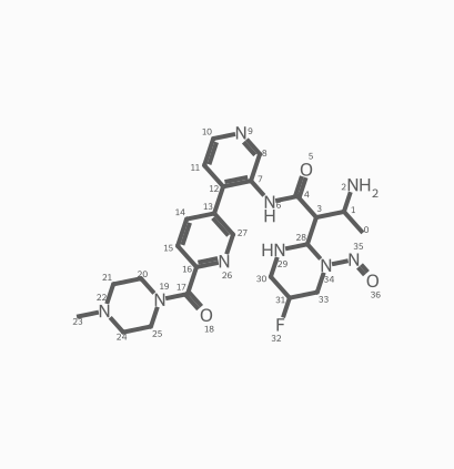 CC(N)C(C(=O)Nc1cnccc1-c1ccc(C(=O)N2CCN(C)CC2)nc1)C1NCC(F)CN1N=O